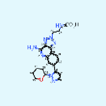 Nc1nc2cc(-c3ccnn3C3CCCCO3)ccc2c2nn(CCNC(=O)O)nc12